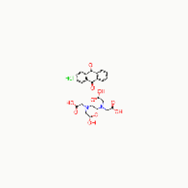 Cl.O=C(O)CN(CCN(CC(=O)O)CC(=O)O)CC(=O)O.O=C1c2ccccc2C(=O)c2ccccc21